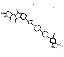 COc1cc(N2CCC(N3CCN(C4CN(c5ccc6c(c5)C(=O)N(C5CCC(=O)NC5=O)C6=O)C4)CC3)CC2)c(C)cc1[N+](=O)[O-]